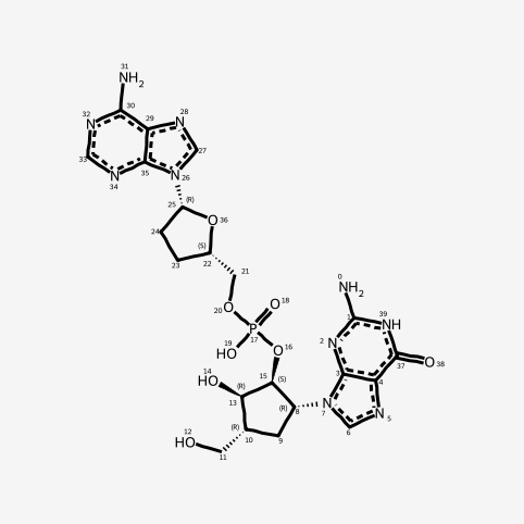 Nc1nc2c(ncn2[C@@H]2C[C@H](CO)[C@@H](O)[C@H]2OP(=O)(O)OC[C@@H]2CC[C@H](n3cnc4c(N)ncnc43)O2)c(=O)[nH]1